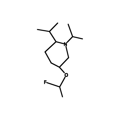 CC(F)OC1CCC(C(C)C)N(C(C)C)C1